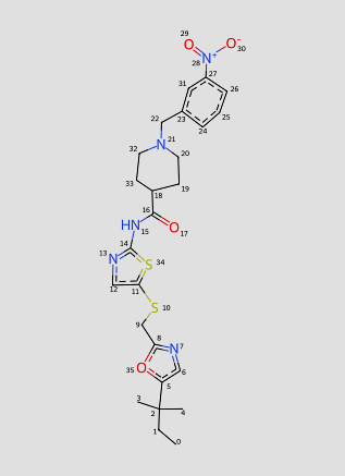 CCC(C)(C)c1cnc(CSc2cnc(NC(=O)C3CCN(Cc4cccc([N+](=O)[O-])c4)CC3)s2)o1